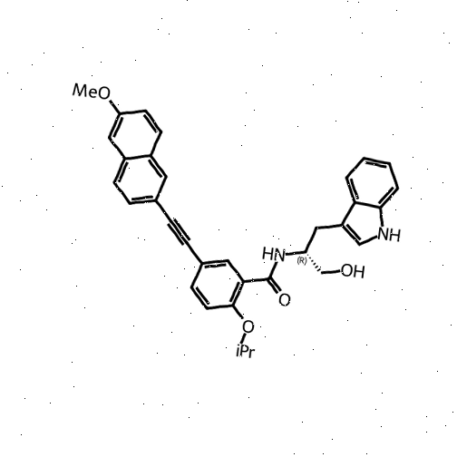 COc1ccc2cc(C#Cc3ccc(OC(C)C)c(C(=O)N[C@@H](CO)Cc4c[nH]c5ccccc45)c3)ccc2c1